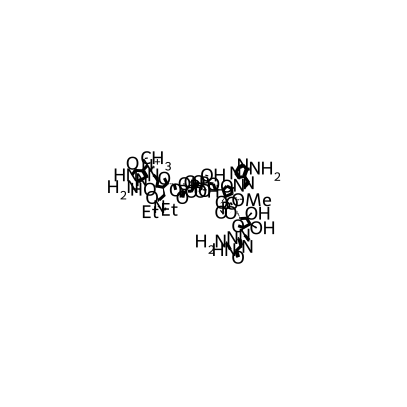 CCN(CC)C(=O)C[C@@H]1[C@@H](COP(=O)(O)OP(=O)(O)OP(=O)(O)OC[C@H]2O[C@@H](n3cnc4c(N)ncnc43)[C@H](OC)[C@@H]2OP(=O)([O-])OC[C@H]2O[C@@H](n3cnc4c(=O)[nH]c(N)nc43)[C@H](O)[C@@H]2O)OC(n2c[n+](C)c3c(=O)[nH]c(N)nc32)[C@@H]1O